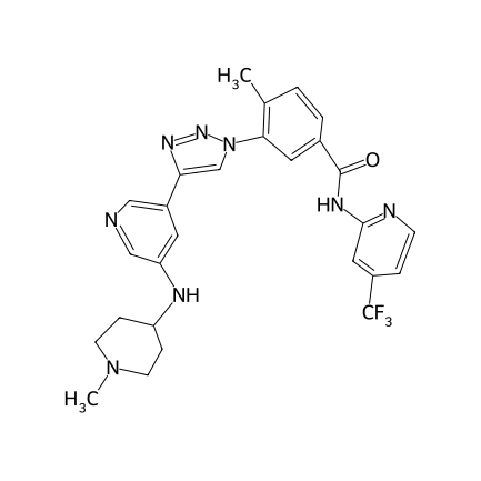 Cc1ccc(C(=O)Nc2cc(C(F)(F)F)ccn2)cc1-n1cc(-c2cncc(NC3CCN(C)CC3)c2)nn1